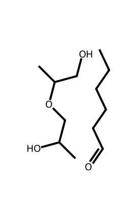 CC(O)COC(C)CO.CCCCCC=O